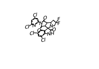 O=C1C2C3CC(F)(F)CN3C3(C(=O)Nc4c(Cl)cc(Cl)cc43)C2C(=O)N1c1cc(Cl)cc(Cl)n1